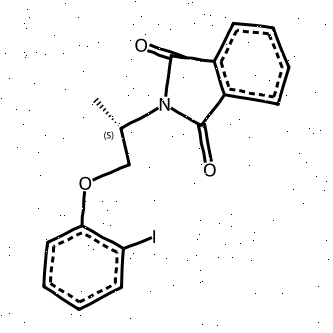 C[C@@H](COc1ccccc1I)N1C(=O)c2ccccc2C1=O